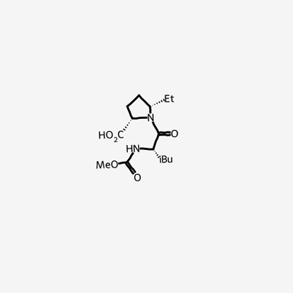 CCC(C)[C@H](NC(=O)OC)C(=O)N1[C@@H](CC)CC[C@H]1C(=O)O